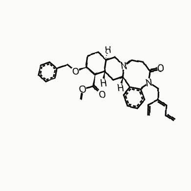 C=C/C=C(\C=C)CN1C(=O)CCN2C[C@@H]3CC[C@H](OCc4ccccc4)[C@H](C(=O)OC)[C@H]3C[C@H]2c2ccccc21